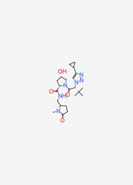 CN1C(=O)CCC1CNC(=O)[C@H]1C[C@H](O)CN1C(=O)[C@H](n1cc(C2CC2)nn1)C(C)(C)C